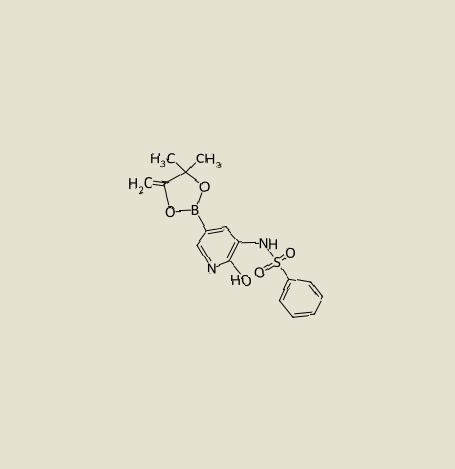 C=C1OB(c2cnc(O)c(NS(=O)(=O)c3ccccc3)c2)OC1(C)C